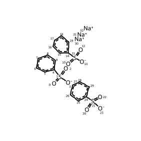 O=S(=O)([O-])c1ccccc1.O=S(=O)([O-])c1ccccc1.O=S(=O)([O-])c1ccccc1.[Na+].[Na+].[Na+]